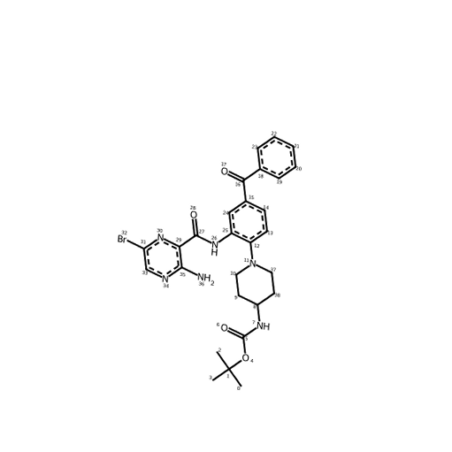 CC(C)(C)OC(=O)NC1CCN(c2ccc(C(=O)c3ccccc3)cc2NC(=O)c2nc(Br)cnc2N)CC1